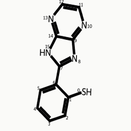 Sc1ccccc1-c1nc2nccnc2[nH]1